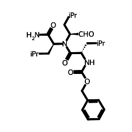 CC(C)C[C@H](NC(=O)OCc1ccccc1)C(=O)N([C@H](C=O)CC(C)C)[C@@H](CC(C)C)C(N)=O